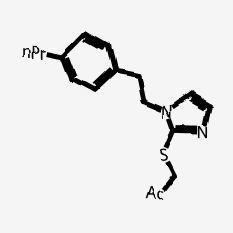 CCCc1ccc(CCn2ccnc2SCC(C)=O)cc1